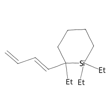 C=CC=CC1(CC)CCCC[Si]1(CC)CC